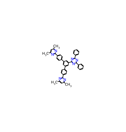 Cc1cc(C)nc(-c2ccc(-c3cc(-c4ccc(-c5nc(C)cc(C)n5)cc4)cc(-c4nc(-c5ccccc5)nc(-c5ccccc5)n4)c3)cc2)n1